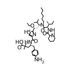 CCCCCCN(C(=O)[C@@H](NC(=O)C1CCCCN1C)[C@@H](C)CC)[C@H](C[C@@H](OCC)C1=NC(C(=O)N[C@@H](Cc2ccc(N)cc2)CC(C)(C)C(=O)O)=C=[SH]1)C(C)C